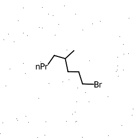 CCCCC(C)CCCBr